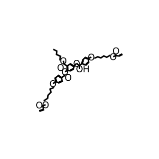 C=CC(=O)OCCCCCCOc1ccc(C(=O)Oc2ccc(OC(O)c3ccc(OCCCCCCOC(=O)C=C)cc3)cc2C(=O)OCCCCC)cc1